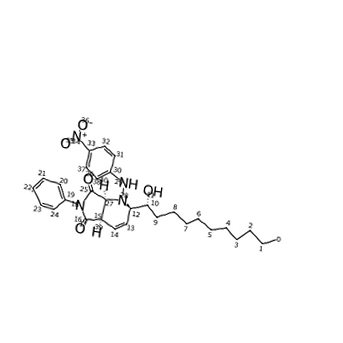 CCCCCCCCCC[C@@H](O)[C@H]1C=C[C@H]2C(=O)N(c3cc[c]cc3)C(=O)[C@H]2N1Nc1ccc([N+](=O)[O-])cc1